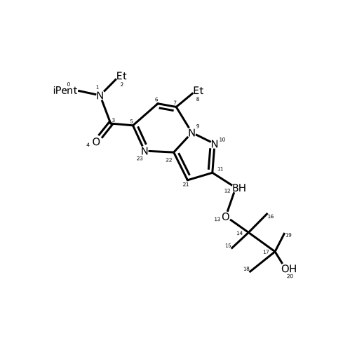 CCCC(C)N(CC)C(=O)c1cc(CC)n2nc(BOC(C)(C)C(C)(C)O)cc2n1